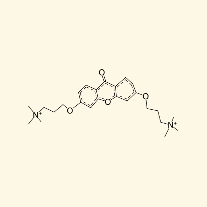 C[N+](C)(C)CCCOc1ccc2c(=O)c3ccc(OCCC[N+](C)(C)C)cc3oc2c1